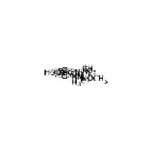 Cc1ccc2c(c1)C(=O)N(C)c1cnc(Nc3cc(S(=O)(=O)N4CCC(O)CC4)cs3)nc1N2C